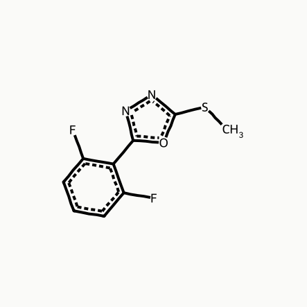 CSc1nnc(-c2c(F)cccc2F)o1